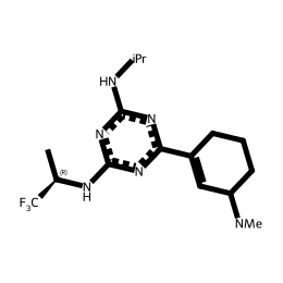 CNC1C=C(c2nc(NC(C)C)nc(N[C@H](C)C(F)(F)F)n2)CCC1